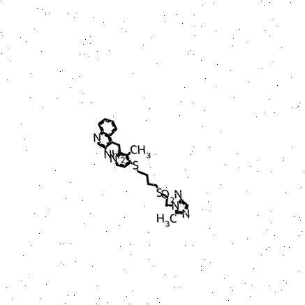 Cc1c(SCCCCSCCn2c([N+](=O)[O-])cnc2C)ccnc1Cc1c(N)cnc2ccccc12